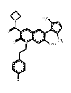 COc1cc2c(cc1-c1c(C)noc1C)cc(C(=O)N1CCC1)c(=O)n2CCc1ccc(F)cc1